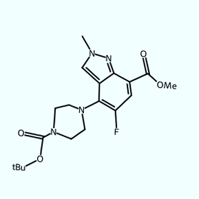 COC(=O)c1cc(F)c(N2CCN(C(=O)OC(C)(C)C)CC2)c2cn(C)nc12